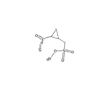 CCCOS(=O)(=O)CC1CC1[SH](=O)=O